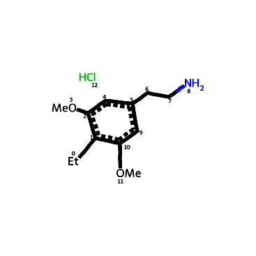 CCc1c(OC)cc(CCN)cc1OC.Cl